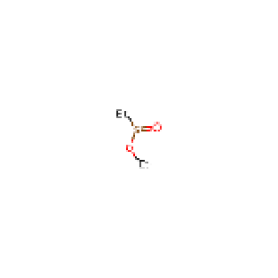 C[CH]OS(=O)CC